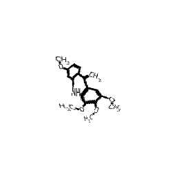 C=C(c1cc(OC)c(OC)c(OC)c1)c1ccc(OC)cc1N